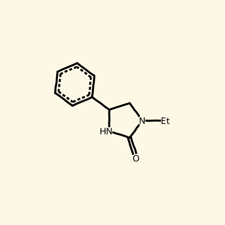 CCN1CC(c2ccccc2)NC1=O